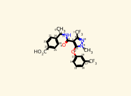 C[C@H](NC(=O)c1c(C(F)(F)F)nn(C)c1Oc1cccc(C(F)(F)F)c1)c1ccc(C(=O)O)cc1